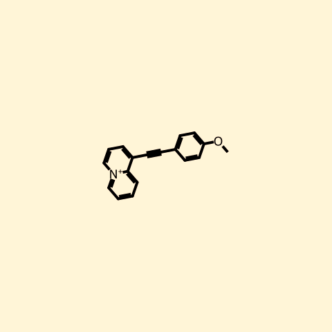 COc1ccc(C#Cc2ccc[n+]3ccccc23)cc1